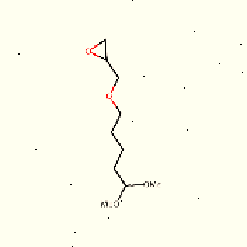 COC(CCCCOCC1CO1)OC